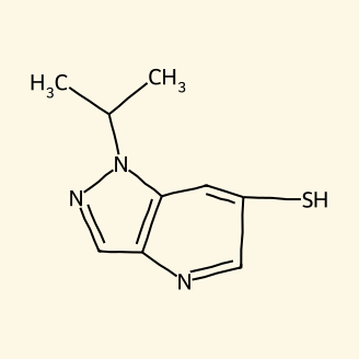 CC(C)n1ncc2ncc(S)cc21